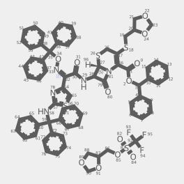 O=C(OC(c1ccccc1)c1ccccc1)C1=C(SCC2COCO2)CS[C@H]2C(NC(=O)/C(=N\OC(c3ccccc3)(c3ccccc3)c3ccccc3)c3csc(NC(c4ccccc4)(c4ccccc4)c4ccccc4)n3)C(=O)N12.O=S(=O)(OCC1COCO1)C(F)(F)F